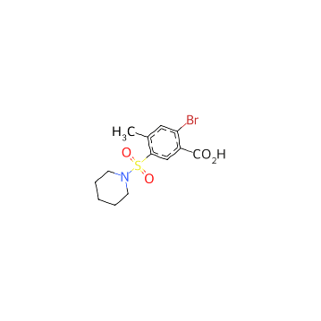 Cc1cc(Br)c(C(=O)O)cc1S(=O)(=O)N1CCCCC1